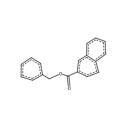 O=C(OCc1ccccc1)c1ccc2c[c]ccc2c1